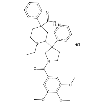 CCN1CCC(C(N)=O)(c2ccccc2)CC1C1(c2cccnc2)CCN(C(=O)c2cc(OC)c(OC)c(OC)c2)C1.Cl